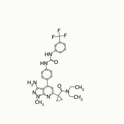 CCN(CC)C(=O)C1(c2cc(-c3ccc(NC(=O)Nc4cccc(C(F)(F)F)c4)cc3)c3c(N)nn(C)c3n2)CC1